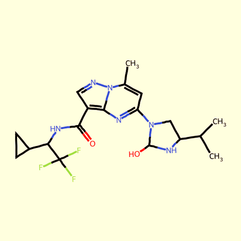 Cc1cc(N2CC(C(C)C)NC2O)nc2c(C(=O)NC(C3CC3)C(F)(F)F)cnn12